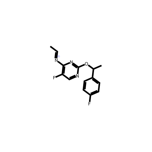 C/C=N/c1nc(OC(C)c2ccc(F)cc2)ncc1F